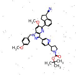 COc1ccc(Cn2nc(-c3ccc(C4CCN(C(=O)OC(C)(C)C)C4)nc3)c3nc(-c4cccc5c4CCC5C#N)c(OC)cc32)cc1